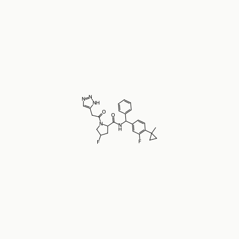 CC1(c2ccc(C(NC(=O)C3CC(F)CN3C(=O)Cc3cnn[nH]3)c3ccccc3)cc2F)CC1